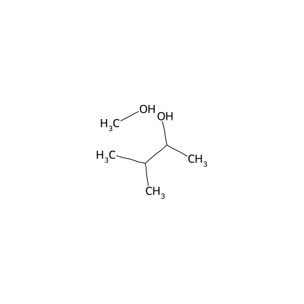 CC(C)C(C)O.CO